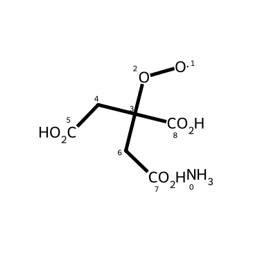 N.[O]OC(CC(=O)O)(CC(=O)O)C(=O)O